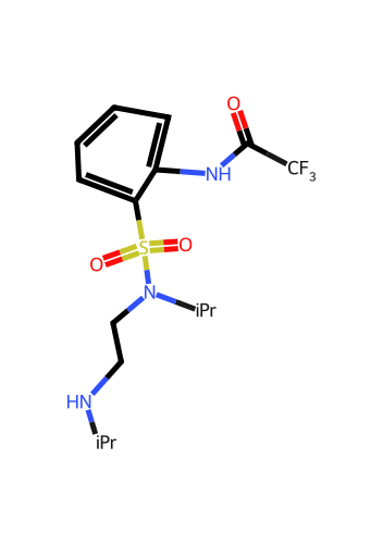 CC(C)NCCN(C(C)C)S(=O)(=O)c1ccccc1NC(=O)C(F)(F)F